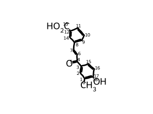 Cc1cc(C(=O)C=Cc2cccc(C(=O)O)c2)ccc1O